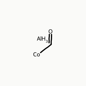 O=[CH][Co].[AlH3]